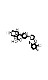 O=C(O)C1=C(c2ccc(N3CCC(Oc4c(F)ccc(F)c4Cl)C3)nc2)C[C@H]2CNC[C@@H]1N2